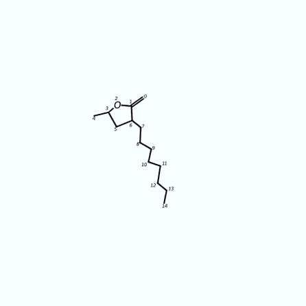 C=C1OC(C)CC1CCCCCCCC